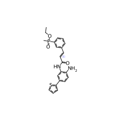 CCOP(C)(=O)c1cccc(/C=C/C(=O)Nc2cc(-c3cccs3)ccc2N)c1